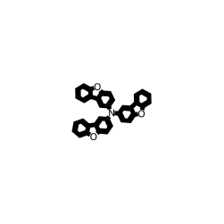 c1ccc2c(c1)oc1ccc(N(c3ccc4oc5ccccc5c4c3)c3ccc4oc5ccccc5c4c3)cc12